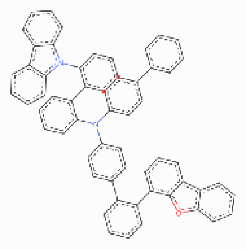 c1ccc(-c2ccc(N(c3ccc(-c4ccccc4-c4cccc5c4oc4ccccc45)cc3)c3ccccc3-c3ccccc3-n3c4ccccc4c4ccccc43)cc2)cc1